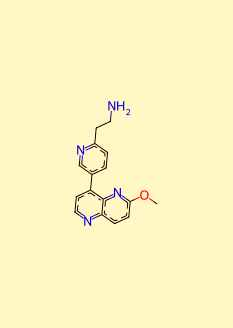 COc1ccc2nccc(-c3ccc(CCN)nc3)c2n1